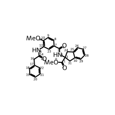 COC(=O)C1(NC(=O)c2ccc(OC)c(NC(=O)Cc3ccccc3)c2)Cc2ccccc2C1